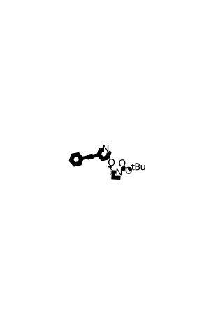 CC(C)(C)OC(=O)N1CC[C@@H]1COc1cncc(C#Cc2ccccc2)c1